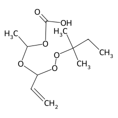 C=CC(OOC(C)(C)CC)OC(C)OC(=O)O